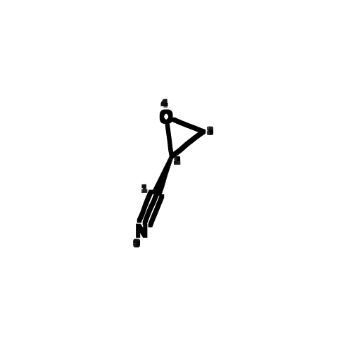 N#C[C@@H]1CO1